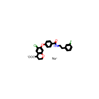 O=C(NCCc1cccc(F)c1)c1ccc(Oc2cc3c(cc2Cl)C(C(=O)[O-])CCO3)cc1.[Na+]